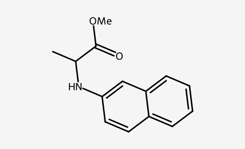 COC(=O)C(C)Nc1ccc2ccccc2c1